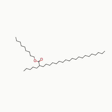 CCCCCCCCCCCCCCCCCCCCC(CCCCC)C(=O)OCCCCCCCCC